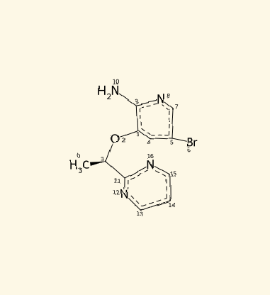 C[C@@H](Oc1cc(Br)cnc1N)c1ncccn1